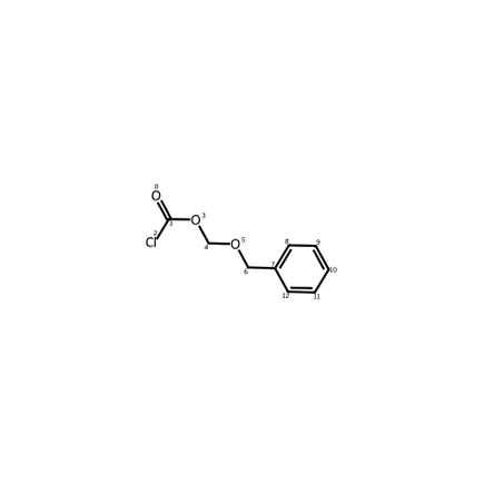 O=C(Cl)OCOCc1ccccc1